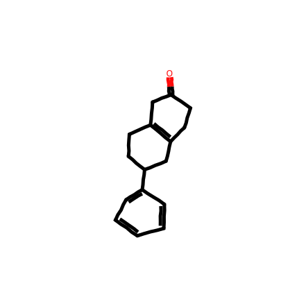 O=C1CCC2=C(CCC(c3ccccc3)C2)C1